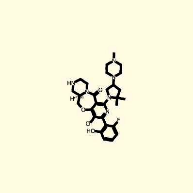 CN1CCN(C2CN(c3nc(-c4c(O)cccc4F)c(Cl)c4c3C(=O)N3CCNC[C@@H]3CO4)C(C)(C)C2)CC1